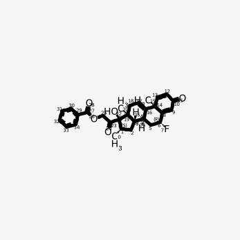 C[C@H]1C[C@H]2[C@@H]3C[C@@H](F)C4=CC(=O)C=C[C@]4(C)C3=CC[C@]2(C)[C@@]1(O)C(=O)COC(=O)c1ccccc1